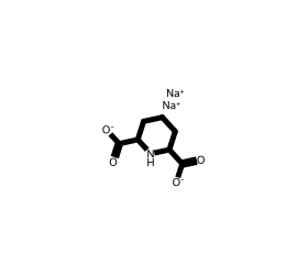 O=C([O-])C1CCCC(C(=O)[O-])N1.[Na+].[Na+]